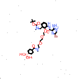 CN(Cc1cccc(NC(=O)c2nc(Br)cnc2N)c1OCCOCCOCCN(C)C(=O)c1ccc(B(O)O)cc1)C(=O)OC(C)(C)C